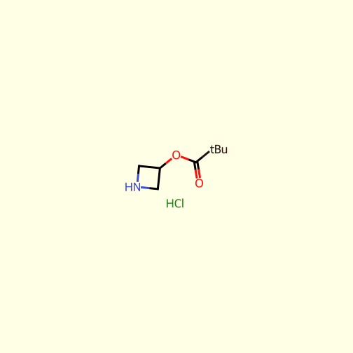 CC(C)(C)C(=O)OC1CNC1.Cl